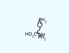 O=C(O)[C@H](CCC1CCN(P)CC1)NP